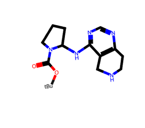 CC(C)(C)OC(=O)N1CCCC1Nc1ncnc2c1CNCC2